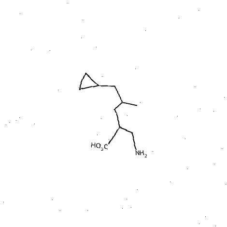 CC(CC1CC1)CC(CN)C(=O)O